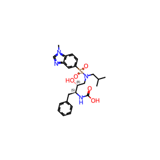 CC(C)CN(C[C@@H](O)[C@H](Cc1ccccc1)NC(=O)O)S(=O)(=O)c1ccc2c(c1)ncn2C